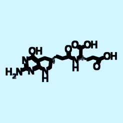 Nc1nc(O)c2c(n1)NC[C@@H](CCC(=O)N[C@@H](CCC(=O)O)C(=O)O)C2